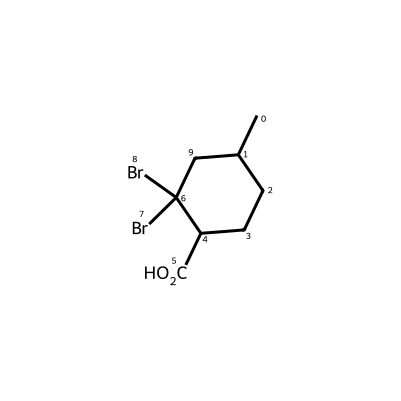 CC1CCC(C(=O)O)C(Br)(Br)C1